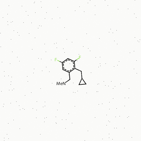 CNCc1cc(F)cc(F)c1CC1CC1